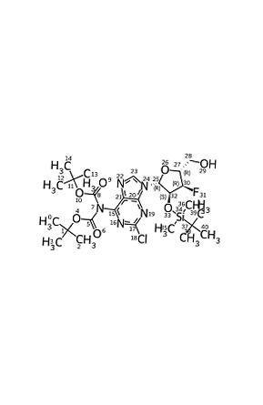 CC(C)(C)OC(=O)N(C(=O)OC(C)(C)C)c1nc(Cl)nc2c1ncn2[C@@H]1O[C@H](CO)[C@@H](F)[C@H]1O[Si](C)(C)C(C)(C)C